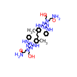 Cc1cc(Nc2nc(Nc3ccccc3)nc(N(CCO)CCC(N)=O)n2)ccc1C=Cc1ccc(Nc2nc(Nc3ccccc3)nc(N(CCO)CCC(N)=O)n2)cc1C